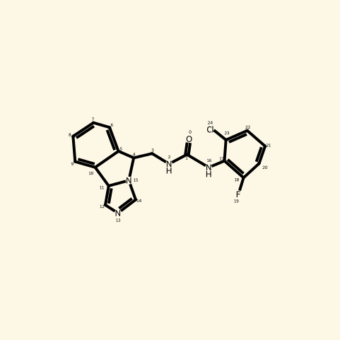 O=C(NCC1c2ccccc2-c2cncn21)Nc1c(F)cccc1Cl